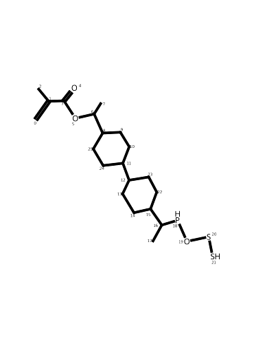 C=C(C)C(=O)OC(C)C1CCC(C2CCC(C(C)POSS)CC2)CC1